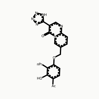 CCCc1c(OCc2ccc3ncc(-c4nnn[nH]4)c(=O)n3c2)ccc(C(C)=O)c1O